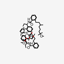 CCC(NC(=O)c1ccccc1CCC(C)CCCC(C)(C)OC)c1ccc(F)[c]([Ti]([C]2=CC=CC2)([C]2=CC=CC2)[c]2c(F)ccc(C(CC)NC(=O)c3ccccc3CCC(C)CCCC(C)(C)OC)c2F)c1F